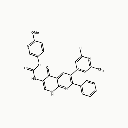 COc1ccc(OC(=O)Nc2c[nH]c3nc(-c4ccccc4)c(-c4cc(C)nc(Cl)c4)cc3c2=O)cn1